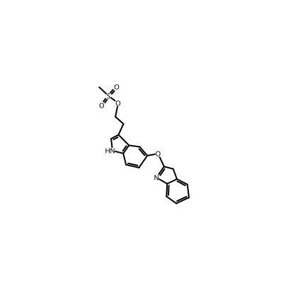 CS(=O)(=O)OCCc1c[nH]c2ccc(OC3=Nc4ccccc4C3)cc12